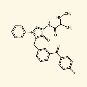 CNC(C)C(=O)Nc1cn(-c2ccccc2)n(Cc2cccc(C(=O)c3ccc(F)cc3)c2)c1=O